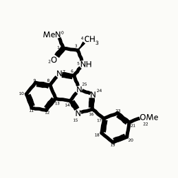 CNC(=O)[C@@H](C)Nc1nc2ccccc2c2nc(-c3cccc(OC)c3)nn12